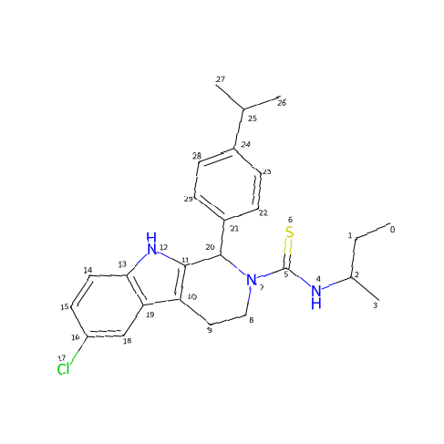 CCC(C)NC(=S)N1CCc2c([nH]c3ccc(Cl)cc23)C1c1ccc(C(C)C)cc1